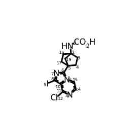 O=C(O)NC12CCC(c3nc(I)c4c(Cl)nccn34)(CC1)C2